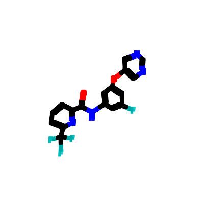 O=C(Nc1cc(F)cc(Oc2cncnc2)c1)c1cccc(C(F)(F)F)n1